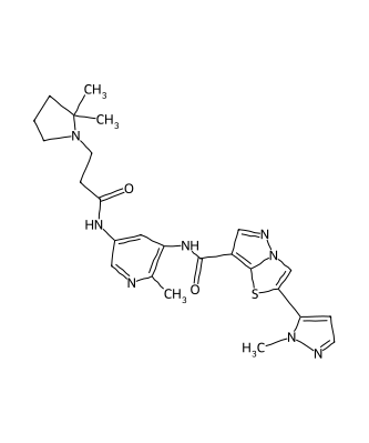 Cc1ncc(NC(=O)CCN2CCCC2(C)C)cc1NC(=O)c1cnn2cc(-c3ccnn3C)sc12